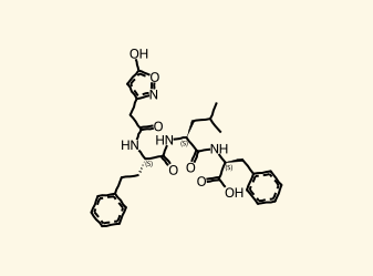 CC(C)C[C@H](NC(=O)[C@H](CCc1ccccc1)NC(=O)Cc1cc(O)on1)C(=O)N[C@@H](Cc1ccccc1)C(=O)O